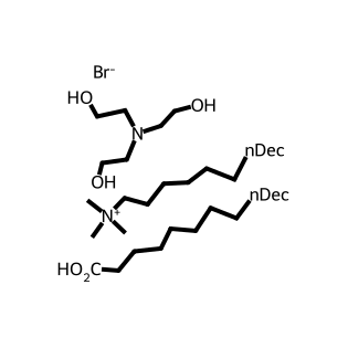 CCCCCCCCCCCCCCCCCC(=O)O.CCCCCCCCCCCCCCCC[N+](C)(C)C.OCCN(CCO)CCO.[Br-]